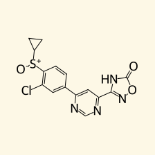 O=c1[nH]c(-c2cc(-c3ccc([S+]([O-])C4CC4)c(Cl)c3)ncn2)no1